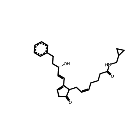 O=C(CCC/C=C\CC1C(=O)CC=C1/C=C/[C@@H](O)CCc1ccccc1)NCC1CC1